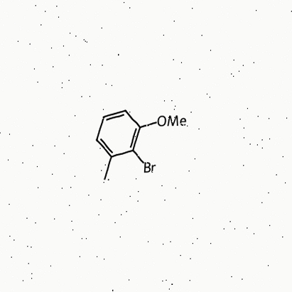 [CH2]c1cccc(OC)c1Br